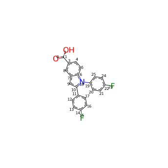 O=C(O)c1ccc2c(c1)cc(-c1ccc(F)cc1)n2-c1ccc(F)cc1